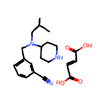 CC(C)CN(Cc1cccc(C#N)c1)C1CCNCC1.O=C(O)/C=C/C(=O)O